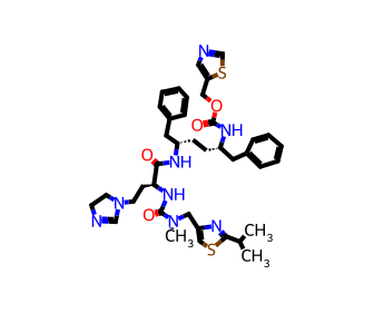 CC(C)c1nc(CN(C)C(=O)N[C@@H](CCN2C=NCC2)C(=O)N[C@@H](CC[C@@H](Cc2ccccc2)NC(=O)OCc2cncs2)Cc2ccccc2)cs1